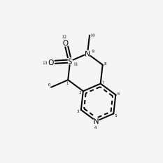 CC1c2cnccc2CN(C)S1(=O)=O